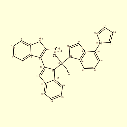 Cc1[nH]c2ccccc2c1C1=Cc2ccccc2[CH]1[Zr]([Cl])([Cl])[CH]1C=Cc2c1cccc2-n1cccc1